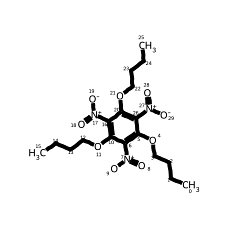 CCCCOc1c([N+](=O)[O-])c(OCCCC)c([N+](=O)[O-])c(OCCCC)c1[N+](=O)[O-]